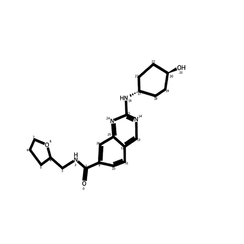 O=C(NCC1CCCO1)c1ccc2cnc(N[C@H]3CC[C@H](O)CC3)nc2c1